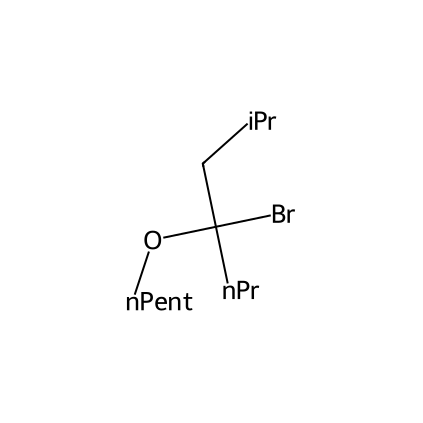 CCCCCOC(Br)(CCC)CC(C)C